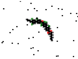 C=CCCc1c(F)cc(-c2ccc(OC(F)(F)c3c(F)cc(-c4ccc(C5OCC(CC/C=C/C)CO5)cc4F)cc3F)cc2F)cc1F